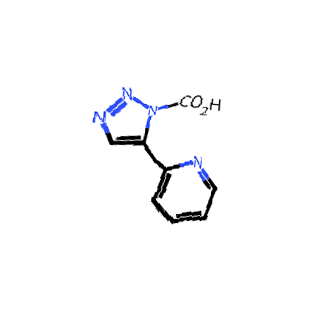 O=C(O)n1nncc1-c1ccccn1